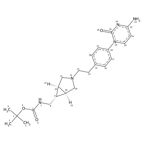 CC(C)(C)OC(=O)NC[C@@H]1[C@H]2CN(CCc3ccc(-n4ccc(N)nc4=O)cc3)C[C@@H]12